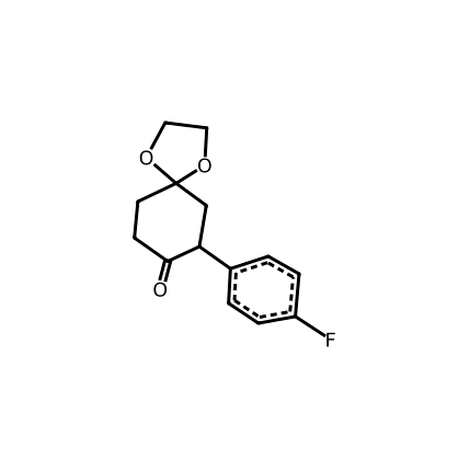 O=C1CCC2(CC1c1ccc(F)cc1)OCCO2